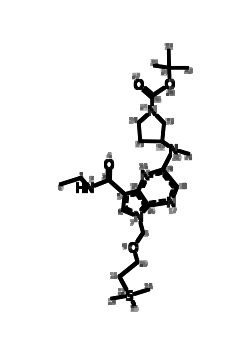 CCNC(=O)c1cn(COCCS(C)(C)C)c2ncc(N(C)C3CCN(C(=O)OC(C)(C)C)C3)nc12